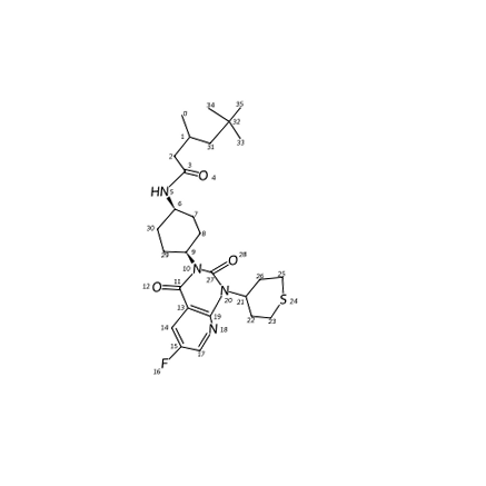 CC(CC(=O)N[C@H]1CC[C@@H](n2c(=O)c3cc(F)cnc3n(C3CCSCC3)c2=O)CC1)CC(C)(C)C